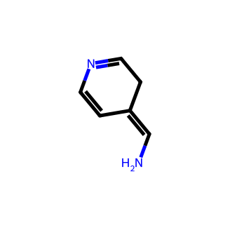 NC=C1C=CN=CC1